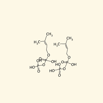 CC(C)=CCOP(=O)(O)OP(=O)(O)O.CC(C)=CCOP(=O)(O)OP(=O)(O)O